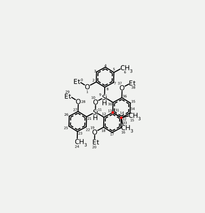 CCOc1ccc(C)cc1[SiH](O[SiH](c1cc(C)ccc1OCC)c1cc(C)ccc1OCC)c1cc(C)ccc1OCC